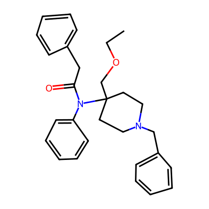 CCOCC1(N(C(=O)Cc2ccccc2)c2ccccc2)CCN(Cc2ccccc2)CC1